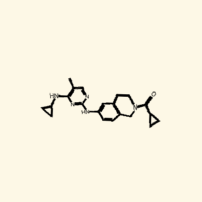 Cc1cnc(Nc2ccc3c(c2)CCN(C(=O)C2CC2)C3)nc1NC1CC1